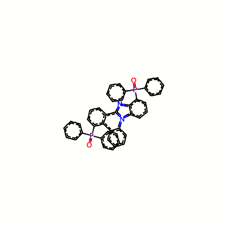 O=P(c1ccccc1)(c1ccccc1)c1cccc2c1nc1c3cccc(P(=O)(c4ccccc4)c4ccccc4)c3c3ccccc3n21